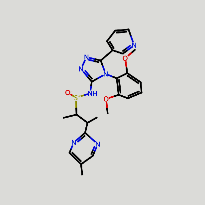 COc1cccc(OC)c1-n1c(N[S+]([O-])C(C)C(C)c2ncc(C)cn2)nnc1-c1cccnc1